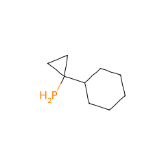 PC1(C2CCCCC2)CC1